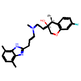 Cc1ccc(C)c2[nH]c(CCCN(C)CC[C@@]3(O)COc4cc(F)ccc4[C@@H]3C(C)C)nc12